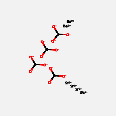 [Ba+2].[Ba+2].[Ba+2].[O-]B([O-])[O-].[O-]B([O-])[O-].[O-]B([O-])[O-].[O-]B([O-])[O-].[Sr+2].[Sr+2].[Sr+2]